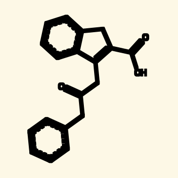 O=C(CC1=C(C(=O)O)Cc2ccccc21)Cc1ccccc1